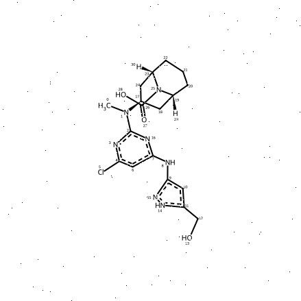 CN(c1nc(Cl)cc(Nc2cc(CO)[nH]n2)n1)[C@@H]1C[C@H]2CCC[C@@H](C1)N2C(=O)O